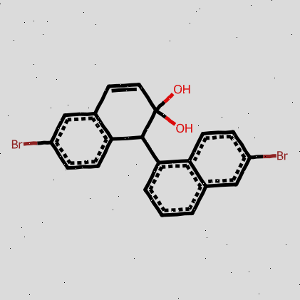 OC1(O)C=Cc2cc(Br)ccc2C1c1cccc2cc(Br)ccc12